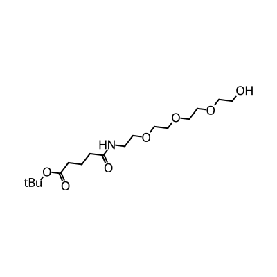 CC(C)(C)OC(=O)CCCC(=O)NCCOCCOCCOCCO